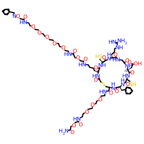 N=C(N)NCCC[C@@H]1NC(=O)[C@H](CS)NC(=O)[C@H](CCCCNC(=O)COCC(=O)NCCOCCOCCOCCOCCOCCNC(=O)CO/N=C/c2ccccc2)NC(=O)CSCC(C(=O)NCCOCCOCCOCCNC(=O)COCC(N)=O)NC(=O)[C@H](Cc2ccccc2)NC(=O)C(CS)NC(=O)[C@H](CC(=O)O)NC(=O)CNC1=O